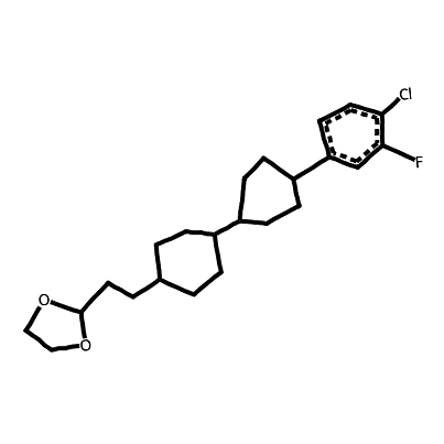 Fc1cc(C2CCC(C3CCC(CCC4OCCO4)CC3)CC2)ccc1Cl